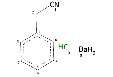 Cl.N#CCc1ccccc1.[BaH2]